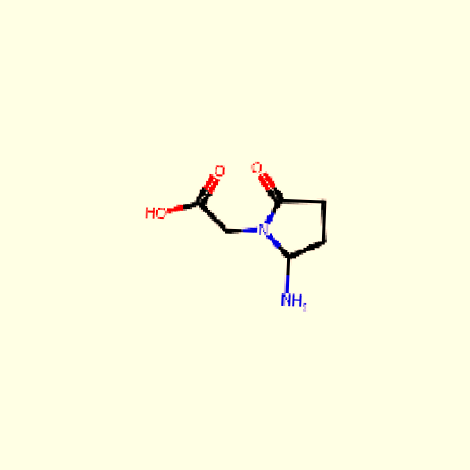 NC1CCC(=O)N1CC(=O)O